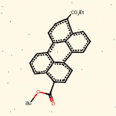 CCOC(=O)c1ccc2c3cccc4c(C(=O)OC(C)CC)ccc(c5cccc1c25)c43